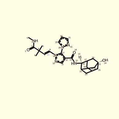 CNC(=O)C(C)(C)/C=C/n1ncc(C(=O)N[C@H]2C3CC4CC2C[C@](O)(C4)C3)c1-n1cccn1